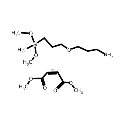 COC(=O)/C=C\C(=O)OC.CO[Si](C)(CCCOCCCN)OC